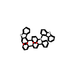 c1ccc(-c2ccc(-c3ccccc3N(c3ccc(-c4cccc5oc6ccccc6c45)cc3)c3cccc4oc5ccccc5c34)cc2)cc1